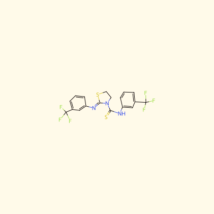 FC(F)(F)c1cccc(N=C2SCCN2C(=S)Nc2cccc(C(F)(F)F)c2)c1